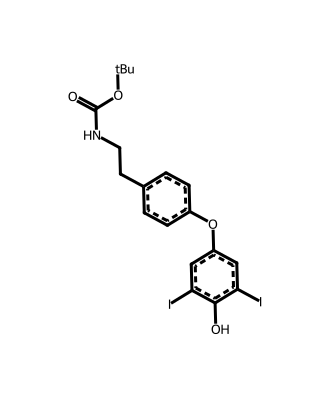 CC(C)(C)OC(=O)NCCc1ccc(Oc2cc(I)c(O)c(I)c2)cc1